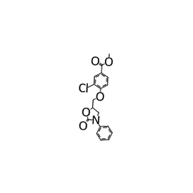 COC(=O)c1ccc(OCC2CN(c3ccccc3)C(=O)O2)c(Cl)c1